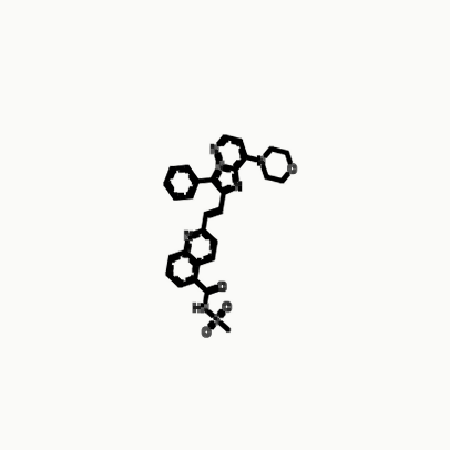 CS(=O)(=O)NC(=O)c1cccc2nc(C=Cc3nc4c(N5CCOCC5)ccnn4c3-c3ccccc3)ccc12